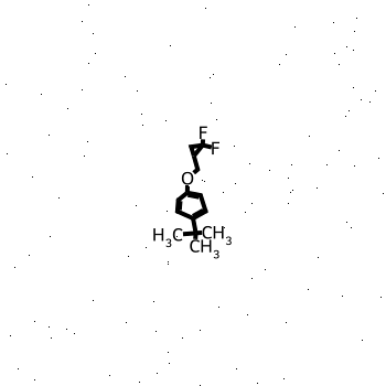 CC(C)(C)c1ccc(OCC2CC2(F)F)cc1